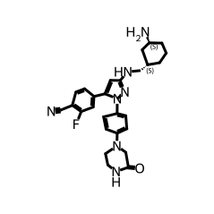 N#Cc1ccc(-c2cc(NC[C@H]3CCC[C@H](N)C3)nn2-c2ccc(N3CCNC(=O)C3)cc2)cc1F